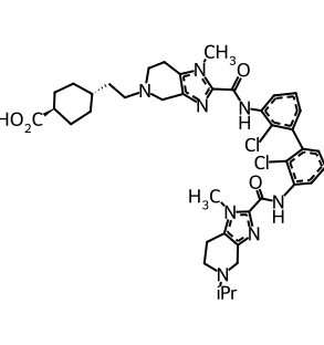 CC(C)N1CCc2c(nc(C(=O)Nc3cccc(-c4cccc(NC(=O)c5nc6c(n5C)CCN(CC[C@H]5CC[C@H](C(=O)O)CC5)C6)c4Cl)c3Cl)n2C)C1